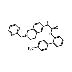 O=C(Nc1ccc2c(c1)CCN(Cc1ncccn1)C2)Oc1ccccc1-c1ccc(C(F)(F)F)cc1